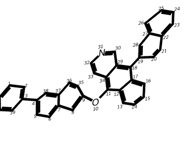 c1ccc(-c2ccc3cc(Oc4c5ccccc5c(-c5ccc6ccccc6c5)c5cnccc45)ccc3c2)cc1